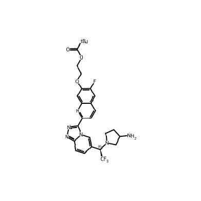 CC(C)(C)C(=O)OCCOc1cc2nc(-c3nnc4ccc([C@@H](N5CCC(N)C5)C(F)(F)F)cn34)ccc2cc1F